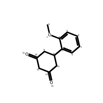 COc1ccccc1C1CC(=O)CC(=O)C1